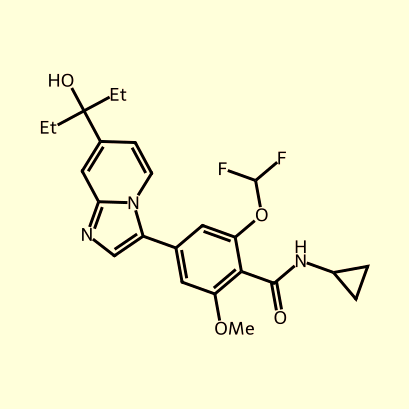 CCC(O)(CC)c1ccn2c(-c3cc(OC)c(C(=O)NC4CC4)c(OC(F)F)c3)cnc2c1